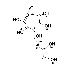 O=C(O)C(O)CO.O=CC(O)CO.OCC(O)CO